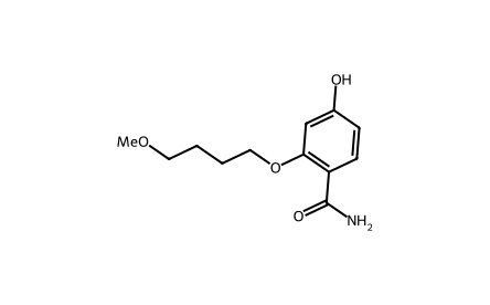 COCCCCOc1cc(O)ccc1C(N)=O